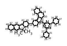 CC1(C)c2cc(-c3ccc4c(c3)c3c5ccccc5ccc3n4-c3nc(-c4ccccc4)nc(-c4ccccc4)n3)ccc2-c2cc3ccccc3cc21